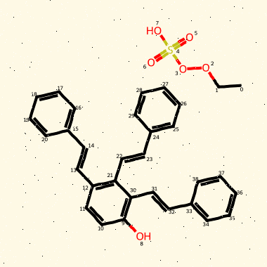 CCOOS(=O)(=O)O.Oc1ccc(C=Cc2ccccc2)c(C=Cc2ccccc2)c1C=Cc1ccccc1